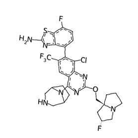 Nc1nc2c(-c3c(C(F)(F)F)cc4c(N5C6CCC5CNC6)nc(OC[C@@]56CCCN5C[C@H](F)C6)nc4c3Cl)ccc(F)c2s1